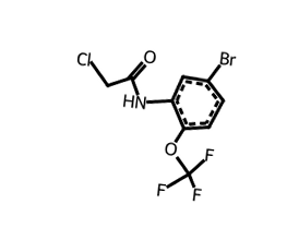 O=C(CCl)Nc1cc(Br)ccc1OC(F)(F)F